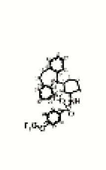 O=S(=O)(NC1CCC[C@H](N2c3ccccc3CCc3ccccc32)[C@H]1O)c1ccc(OC(F)(F)F)cc1